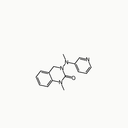 CN1C(=O)N(N(C)c2cccnc2)Cc2ccccc21